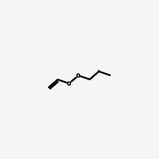 C=COOC[CH]C